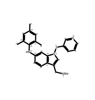 CNCc1cn(Sc2cccnc2)c2cc(Nc3c(C)cc(C)cc3C)ccc12